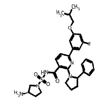 CC(C)COc1cc(F)cc(-c2ccc(C(=O)NS(=O)(=O)N3CC[C@@H](N)C3)c(N3CCCC3c3ccccc3)n2)c1